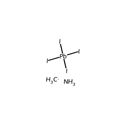 N.[CH3].[I][Pb]([I])([I])[I]